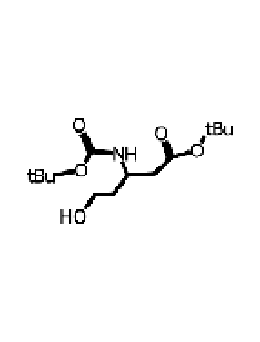 CC(C)(C)OC(=O)CC(CCO)NC(=O)OC(C)(C)C